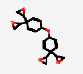 C1=CC(C2CO2)(C2CO2)C=CC1OC1C=CC(C2CO2)(C2CO2)C=C1